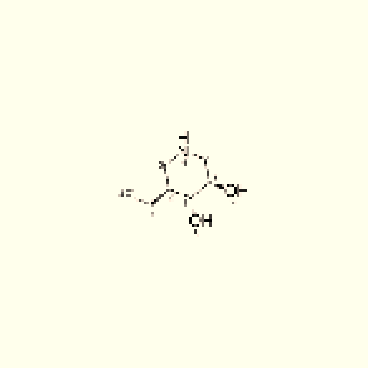 O[C@@H]1[C@@H](CF)CNC[C@H]1O